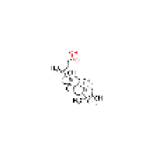 C[C@H](CCC(=O)O)C1CC[C@@]2(C)C3CCC4C(C)(C)[C@@H](C)CC[C@]4(C)C3CC[C@]12C